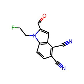 N#Cc1ccc2c(cc(C=O)n2CCF)c1C#N